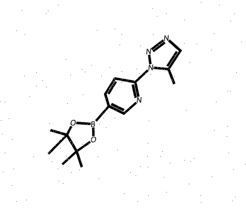 Cc1cnnn1-c1ccc(B2OC(C)(C)C(C)(C)O2)cn1